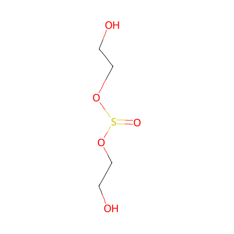 O=S(OCCO)OCCO